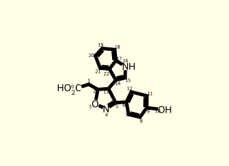 O=C(O)CC1ON=C(c2ccc(O)cc2)C1c1c[nH]c2ccccc12